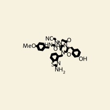 COc1ccc(CNC(=O)N(CC#N)N2CC(=O)N3[C@@H](Cc4ccc(O)cc4)C(=O)N(Cc4cccc5sc(N)nc45)C[C@@H]32)cc1